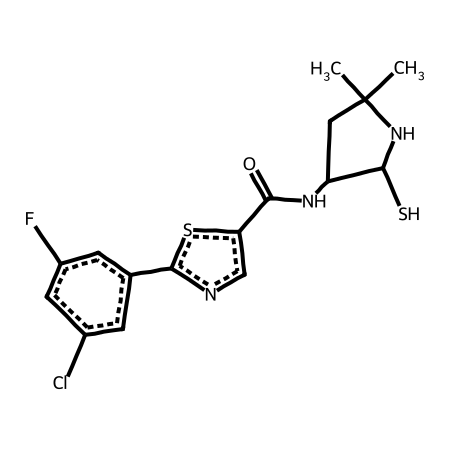 CC1(C)CC(NC(=O)c2cnc(-c3cc(F)cc(Cl)c3)s2)C(S)N1